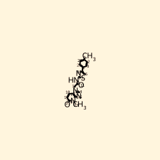 Cc1ccc(-c2csc(NC(=O)Cn3cnc4c3ccc(=O)n4C)n2)cc1